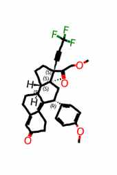 COCC(=O)[C@@]1(C#CC(F)(F)F)CC[C@H]2[C@@H]3CCC4=CC(=O)CCC4=C3[C@@H](c3ccc(OC)cc3)C[C@@]21C